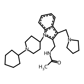 CC(=O)NCc1c(CN2CCCC2)c2ccccc2n1C1CCN(C2CCCCC2)CC1